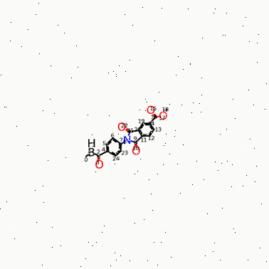 CBC(=O)c1ccc(N2C(=O)c3ccc(C(=O)OC)cc3C2=O)cc1